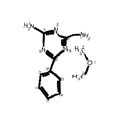 COC.Nc1nc(N)nc(-c2ccccc2)n1